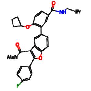 CNC(=O)c1c(-c2ccc(F)cc2)oc2ccc(-c3cc(C(=O)NCC(C)C)ccc3OC3CCC3)cc12